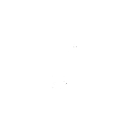 [c]1nc(-c2ccc3occc3c2)cs1